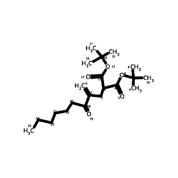 C=C(CC(C(=O)OC(C)(C)C)C(=O)OC(C)(C)C)C(=O)CCCCCC